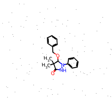 CC1(C)C(=O)NN(c2ccccc2)C1OCc1ccccc1